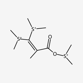 CC(C(=O)O[S+](C)C)=C([S+](C)C)[S+](C)C